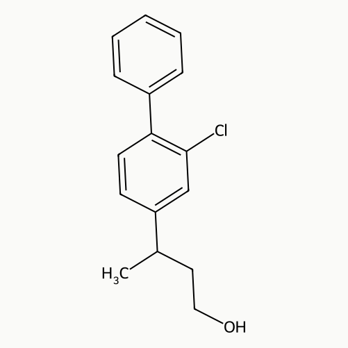 CC(CCO)c1ccc(-c2ccccc2)c(Cl)c1